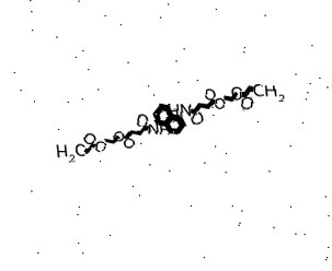 C=CC(=O)OCCOC(=O)CCC(=O)Nc1cccc2c(NC(=O)CCC(=O)OCCOC(=O)C=C)cccc12